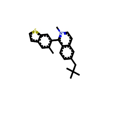 Cc1cc2ccsc2cc1-c1c2ccc(CC(C)(C)C)cc2cc[n+]1C